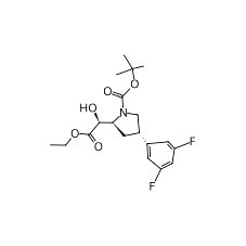 CCOC(=O)[C@@H](O)[C@@H]1C[C@@H](c2cc(F)cc(F)c2)CN1C(=O)OC(C)(C)C